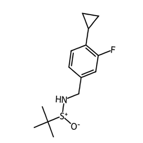 CC(C)(C)[S+]([O-])NCc1ccc(C2CC2)c(F)c1